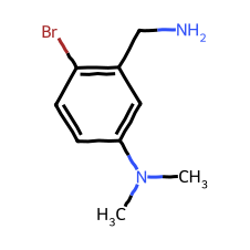 CN(C)c1ccc(Br)c(CN)c1